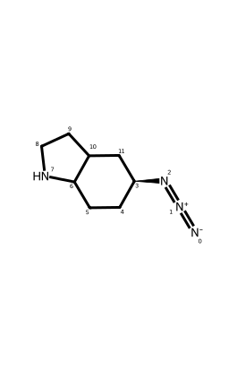 [N-]=[N+]=N[C@H]1CCC2NCCC2C1